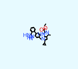 CCOC(=O)C1N=C(C)c2cc(C3CC3)n(Cc3ccc(-c4ccccc4-c4nnn[nH]4)cc3)c2N1